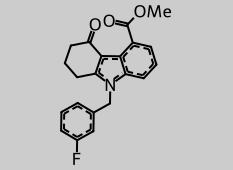 COC(=O)c1cccc2c1c1c(n2Cc2cccc(F)c2)CCCC1=O